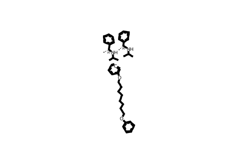 CC(C)N[C@H](C)c1ccccc1.CC(C)N[C@H](C)c1ccccc1.c1ccc(OCCCCCCCCOc2ccccc2)cc1